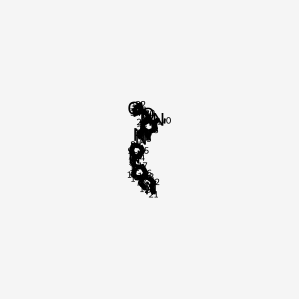 CNc1cc2cn(C3CCN(CC4CCC5(CC4)CCN(C)CC5)CC3)nc2cc1OC1COC1